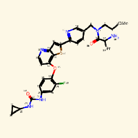 COCCN(Cc1ccc(-c2cc3nccc(Oc4ccc(NC(=O)NC5CC5)cc4F)c3s2)nc1)C(=O)C(N)C(C)C